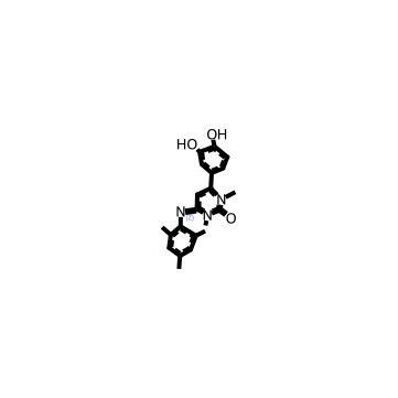 Cc1cc(C)c(/N=c2/cc(-c3ccc(O)c(O)c3)n(C)c(=O)n2C)c(C)c1